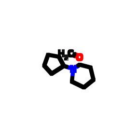 C1CCN(C2CCCC2)CC1.C=O